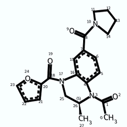 CC(=O)N1c2ccc(C(=O)N3CCCC3)cc2N(C(=O)c2ccco2)C[C@@H]1C